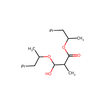 CC(C)CC(C)OC(=O)C(C)C(O)OC(C)CC(C)C